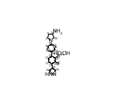 Cl.Cl.NC1CCN(c2cnc(-c3ccc(-c4cn[nH]c4)c(F)c3F)cn2)C1